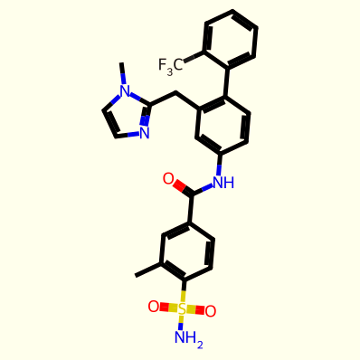 Cc1cc(C(=O)Nc2ccc(-c3ccccc3C(F)(F)F)c(Cc3nccn3C)c2)ccc1S(N)(=O)=O